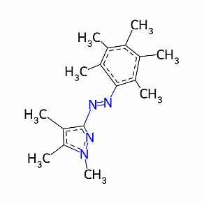 Cc1c(C)c(C)c(N=Nc2nn(C)c(C)c2C)c(C)c1C